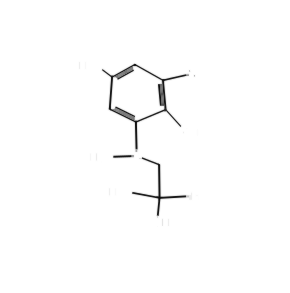 CB(CC(C)(C)C(C)C)c1cc(C)cc(N)c1C